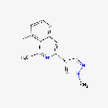 Cc1nc(-c2cnn(C)c2)cc2cccc(I)c12